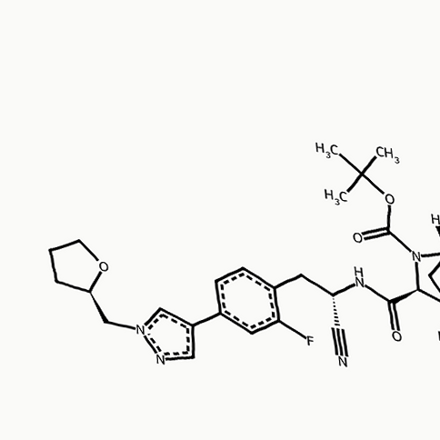 CC(C)(C)OC(=O)N1[C@@H]2CC[C@@H](C2)[C@H]1C(=O)N[C@H](C#N)Cc1ccc(-c2cnn(C[C@H]3CCCO3)c2)cc1F